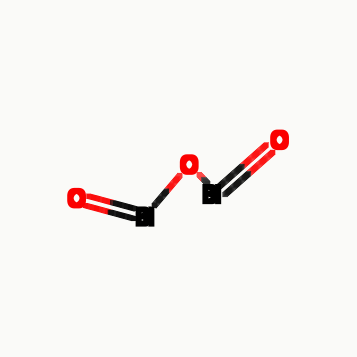 [O]=[Bi][O][Bi]=[O]